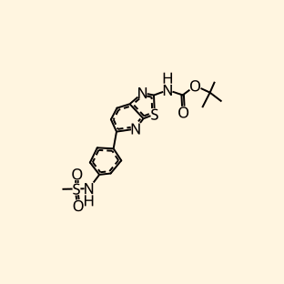 CC(C)(C)OC(=O)Nc1nc2ccc(-c3ccc(NS(C)(=O)=O)cc3)nc2s1